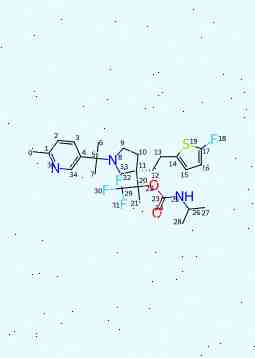 Cc1ccc(C(C)(C)N2CC[C@@](CCc3ccc(F)s3)(C(C)(OC(=O)NC(C)C)C(F)(F)F)C2)cn1